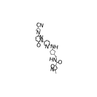 Cc1cc(C(=O)NC[C@H]2CC[C@@H](Nc3ccc(-n4nc(N5CC(C#N)C5)ccc4=O)cn3)C2)on1